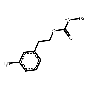 CC(C)(C)NC(=O)OCCc1cccc(N)c1